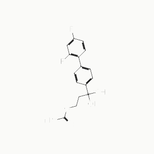 CCCC(=O)OCCC(C)(O)c1ccc(-c2ccc(F)cc2F)cc1